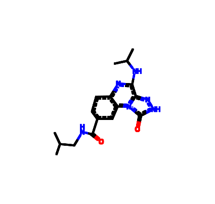 CC(C)CNC(=O)c1ccc2nc(NC(C)C)c3n[nH]c(=O)n3c2c1